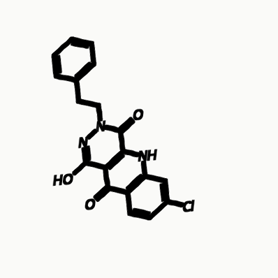 O=c1c2ccc(Cl)cc2[nH]c2c(=O)n(CCc3ccccc3)nc(O)c12